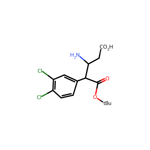 CC(C)(C)OC(=O)C(c1ccc(Cl)c(Cl)c1)C(N)CC(=O)O